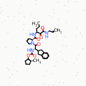 C=CCNC(=O)C(=O)C(CCC)NC(=O)[C@@H]1CCCN1C(=O)[C@@H](NC(=O)OC1CCC[C@@H]1C)C1Cc2ccccc2C1